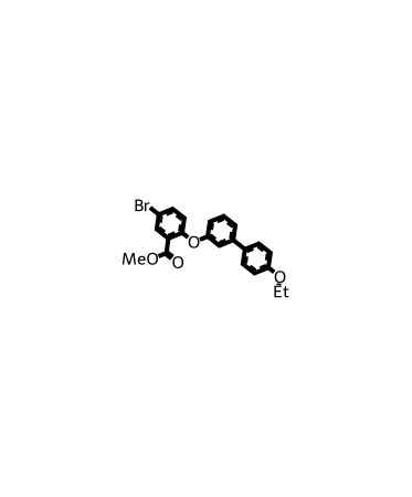 CCOc1ccc(-c2cccc(Oc3ccc(Br)cc3C(=O)OC)c2)cc1